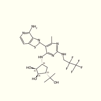 Cc1nc(NCC(F)(F)C(F)(F)F)nc(N[C@@H]2C[C@H](C(C)(C)O)[C@@H](O)[C@H]2O)c1-c1nc2c(N)nccc2s1